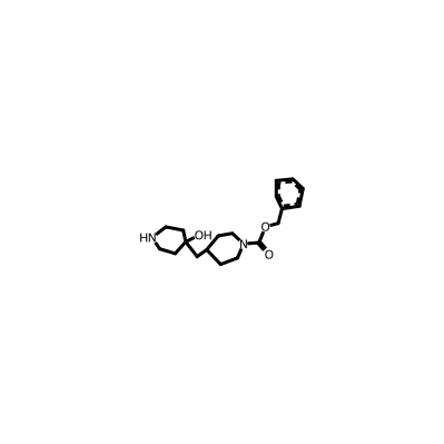 O=C(OCc1ccccc1)N1CCC(CC2(O)CCNCC2)CC1